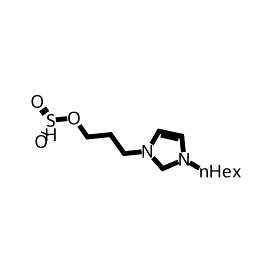 CCCCCCN1C=CN(CCCO[SH](=O)=O)C1